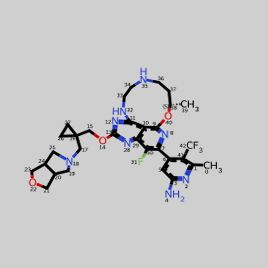 Cc1nc(N)cc(-c2nc3c4c(nc(OCC5(CN6CC7COCC7C6)CC5)nc4c2F)NCCNCC[C@H](C)O3)c1C(F)(F)F